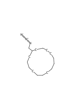 [N-]=[N+]=NCC1CCCCCCCCCCCCCC1